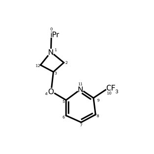 CC(C)N1CC(Oc2cccc(C(F)(F)F)n2)C1